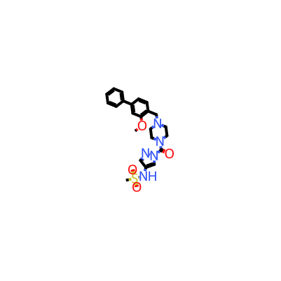 COc1cc(-c2ccccc2)ccc1CN1CCN(C(=O)n2cc(NS(C)(=O)=O)cn2)CC1